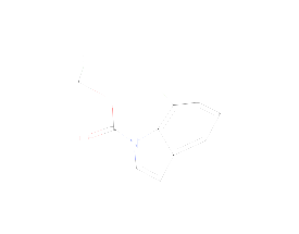 O=C(OCCl)n1ccc2cccc(F)c21